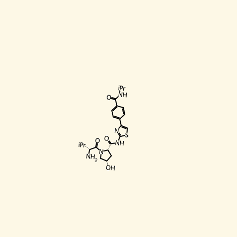 CC(C)NC(=O)c1ccc(-c2csc(NC(=O)[C@@H]3C[C@H](O)CN3C(=O)[C@H](N)C(C)C)n2)cc1